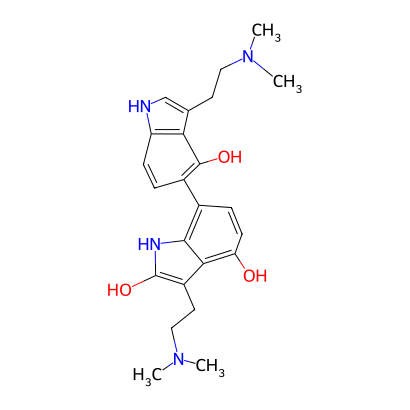 CN(C)CCc1c[nH]c2ccc(-c3ccc(O)c4c(CCN(C)C)c(O)[nH]c34)c(O)c12